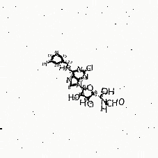 O=CNC(O)[C@H]1O[C@H](n2cnc3c(NCc4cccc(I)c4)nc(Cl)nc32)[C@H](O)[C@@H]1O